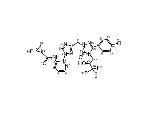 O=C(Nc1cccnc1-n1cnc(Cn2nc(-c3ccc(Cl)cc3)n(C[C@H](O)C(F)(F)F)c2=O)n1)C1CC1F